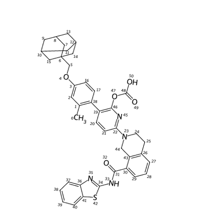 Cc1cc(OCC23CC4CC(CC(C4)C2)C3)ccc1-c1ccc(N2CCc3cccc(C(=O)Nc4nc5ccccc5s4)c3C2)nc1OC(=O)O